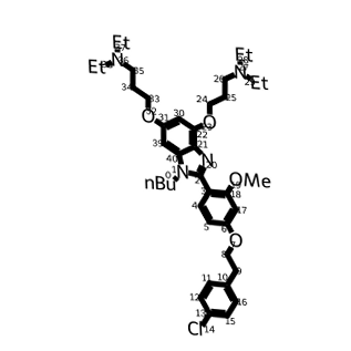 CCCCn1c(-c2ccc(OCCc3ccc(Cl)cc3)cc2OC)nc2c(OCCCN(CC)CC)cc(OCCCN(CC)CC)cc21